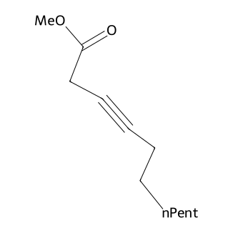 [CH2]CCCCCCC#CCC(=O)OC